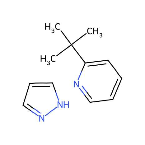 CC(C)(C)c1ccccn1.c1cn[nH]c1